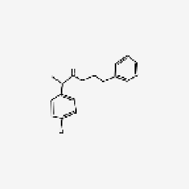 CC(NCCCc1ccccc1)c1ccc(Cl)cc1